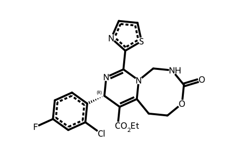 CCOC(=O)C1=C2CCOC(=O)NCN2C(c2nccs2)=N[C@H]1c1ccc(F)cc1Cl